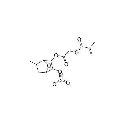 C=C(C)C(=O)OCC(=O)OC1C2OC(CC2C)C1O[SH](=O)=O